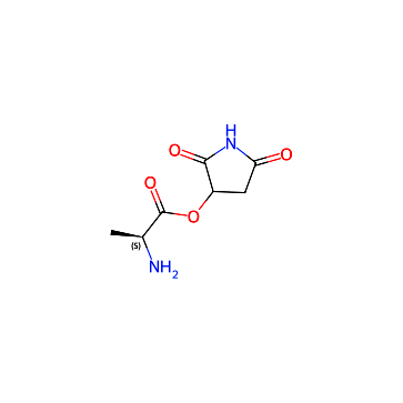 C[C@H](N)C(=O)OC1CC(=O)NC1=O